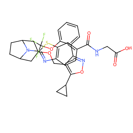 O=C(O)CNC(=O)c1ccc2nc(N3C4CCC3CC(OCc3c(-c5ccccc5OC(F)(F)F)noc3C3CC3)C4)sc2c1